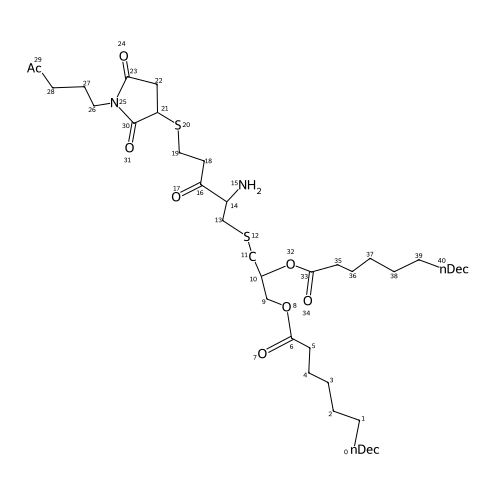 CCCCCCCCCCCCCCCC(=O)OCC(CSCC(N)C(=O)CCSC1CC(=O)N(CCCC(C)=O)C1=O)OC(=O)CCCCCCCCCCCCCCC